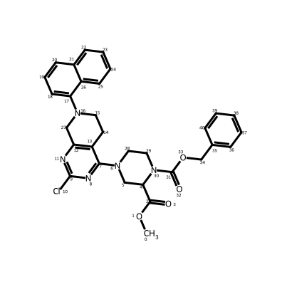 COC(=O)C1CN(c2nc(Cl)nc3c2CCN(c2cccc4ccccc24)C3)CCN1C(=O)OCc1ccccc1